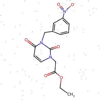 CCOC(=O)Cn1ccc(=O)n(Cc2cccc([N+](=O)[O-])c2)c1=O